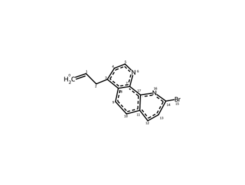 C=CCc1ccnc2c1ccc1ccc(Br)nc12